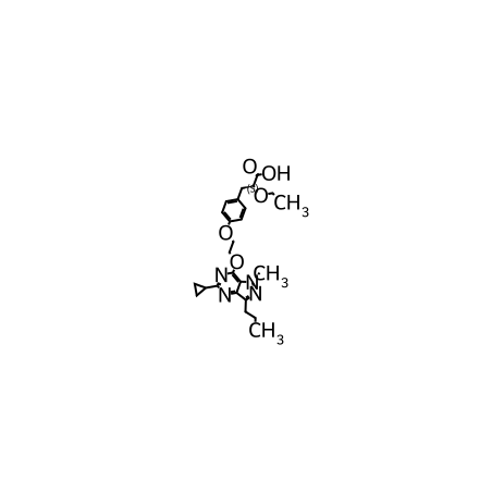 CCCc1nn(C)c2c(OCCOc3ccc(C[C@H](OCC)C(=O)O)cc3)nc(C3CC3)nc12